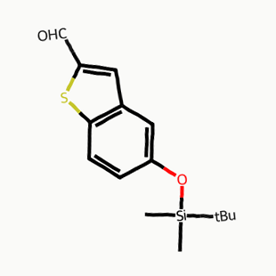 CC(C)(C)[Si](C)(C)Oc1ccc2sc(C=O)cc2c1